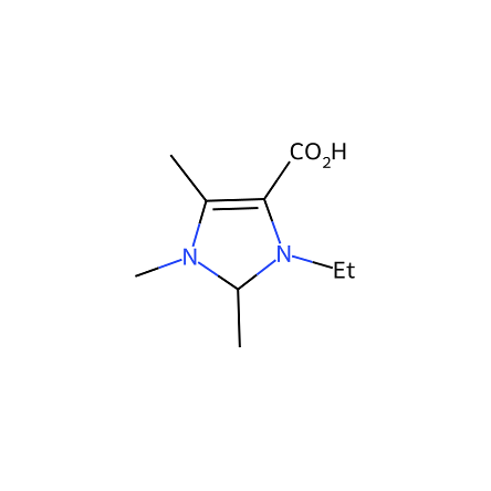 CCN1C(C(=O)O)=C(C)N(C)C1C